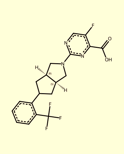 O=C(O)c1nc(N2C[C@H]3CC(c4ccccc4C(F)(F)F)C[C@H]3C2)ncc1F